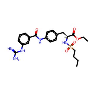 CCCCS(=O)(=O)N[C@@H](Cc1ccc(NC(=O)c2cccc(NC(=N)N)c2)cc1)C(=O)OCC